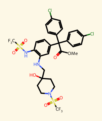 COC(=O)C(c1ccc(Cl)cc1)(c1ccc(Cl)cc1)c1ccc(NS(=O)(=O)C(F)(F)F)c(NCC2(O)CCN(S(=O)(=O)C(F)(F)F)CC2)c1